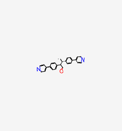 [CH2]C(c1ccc(-c2ccncc2)cc1)C(C=O)c1ccc(-c2ccncc2)cc1